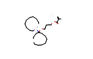 C=C(C)C(=O)OCCCOC1(N2CCCCCCCCC[SiH2]2)CCCCCCCCCC1